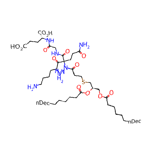 CCCCCCCCCCCCCCCC(=O)OC[C@H](CSCCC(=O)N(N)C(CCC(N)=O)(C(=O)NCC(=O)N[C@H](CCC(=O)O)C(=O)O)C(=O)[C@@H](N)CCCCN)OC(=O)CCCCCCCCCCCCCCC